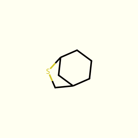 C1CC2CSC(C1)C2